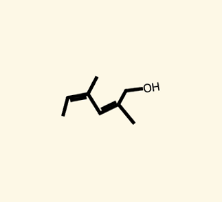 CC=C(C)C=C(C)CO